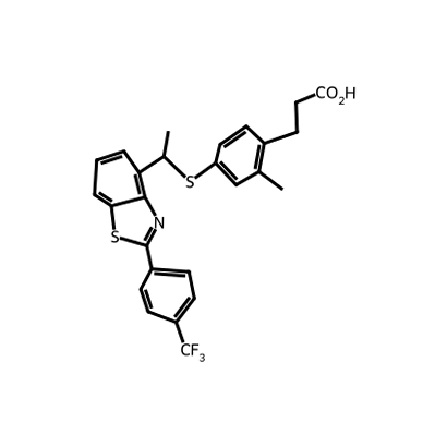 Cc1cc(SC(C)c2cccc3sc(-c4ccc(C(F)(F)F)cc4)nc23)ccc1CCC(=O)O